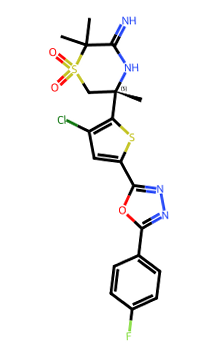 CC1(C)C(=N)N[C@](C)(c2sc(-c3nnc(-c4ccc(F)cc4)o3)cc2Cl)CS1(=O)=O